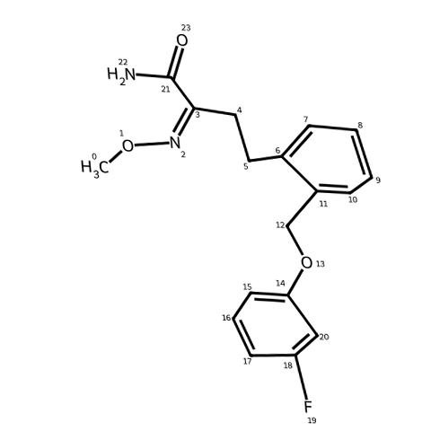 CON=C(CCc1ccccc1COc1cccc(F)c1)C(N)=O